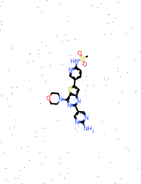 CS(=O)(=O)Nc1ccc(-c2cc3nc(-c4cnc(N)nc4)nc(N4CCOCC4)c3s2)cn1